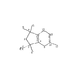 CCC1(C)CC(C)(C)C2=C1CC(C)=CC2